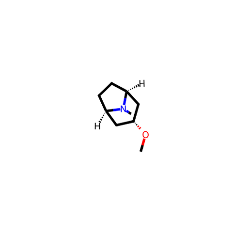 CO[C@@H]1C[C@H]2CC[C@@H](C1)N2C